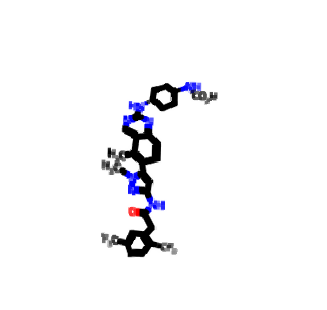 Cc1c(-c2cc(NC(=O)Cc3cc(C(F)(F)F)ccc3C(F)(F)F)nn2C)ccc2nc(N[C@H]3CC[C@H](NC(=O)O)CC3)ncc12